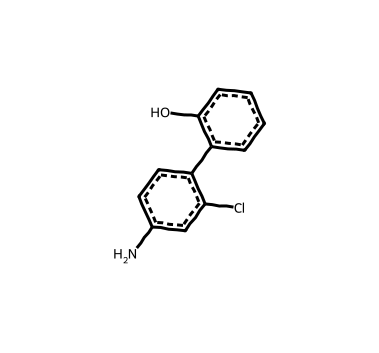 Nc1ccc(-c2ccccc2O)c(Cl)c1